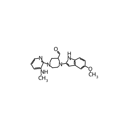 CNc1cccnc1N1CCN(c2cc3cc(OC)ccc3[nH]2)C(C=O)C1